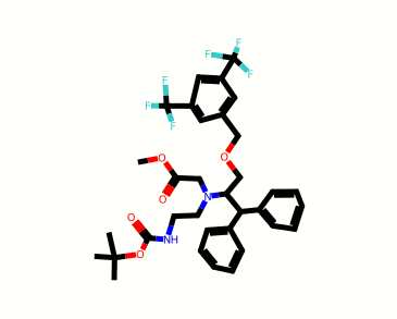 COC(=O)CN(CCNC(=O)OC(C)(C)C)C(COCc1cc(C(F)(F)F)cc(C(F)(F)F)c1)C(c1ccccc1)c1ccccc1